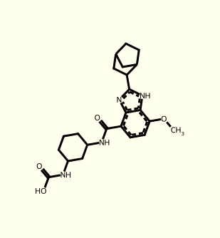 COc1ccc(C(=O)NC2CCCC(NC(=O)O)C2)c2nc(C3CC4CCC3C4)[nH]c12